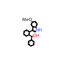 COc1ccc2[nH]cc(-c3ccccc3C(O)c3ccccc3)c2c1